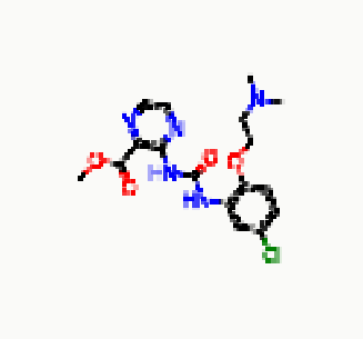 COC(=O)c1nccnc1NC(=O)Nc1cc(Cl)ccc1OCCN(C)C